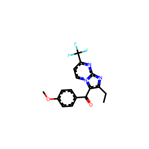 CCc1nc2nc(C(F)(F)F)ccn2c1C(=O)c1ccc(OC)cc1